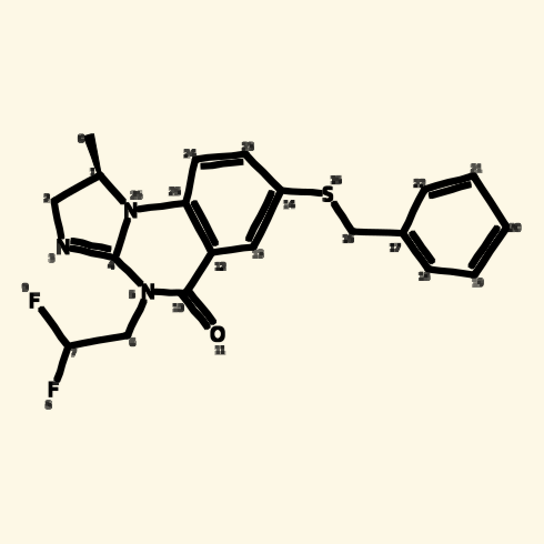 C[C@@H]1CN=C2N(CC(F)F)C(=O)c3cc(SCc4ccccc4)ccc3N21